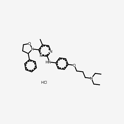 CCN(CC)CCCOc1ccc(Nc2ncc(C)c(N3OCCC3c3ccccc3)n2)cc1.Cl